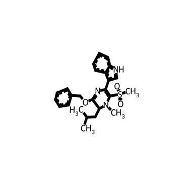 CC(C)CC1C(OCc2ccccc2)=NC(c2c[nH]c3ccccc23)=C(S(C)(=O)=O)N1C